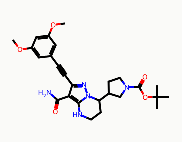 COc1cc(C#Cc2nn3c(c2C(N)=O)NCCC3C2CCN(C(=O)OC(C)(C)C)C2)cc(OC)c1